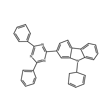 C1=CCC(n2c3ccccc3c3ccc(-c4nc(-c5ccccc5)nc(-c5ccccc5)n4)cc32)C=C1